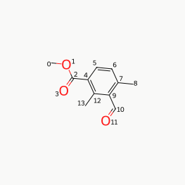 COC(=O)c1ccc(C)c(C=O)c1C